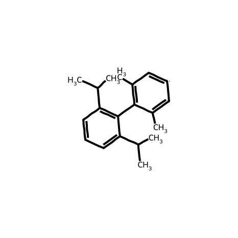 Cc1c[c]cc(C)c1-c1c(C(C)C)cccc1C(C)C